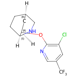 FC(F)(F)c1cnc(O[C@@H]2C[C@H]3CC[C@@H]2NC3)c(Cl)c1